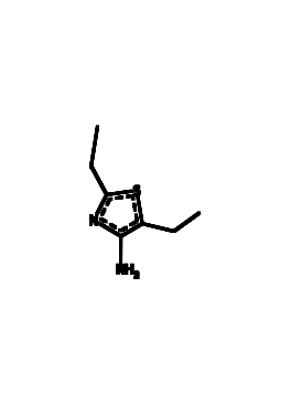 CCc1nc(N)c(CC)s1